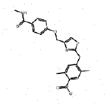 CNC(=O)c1ccc(OCc2csc(Cc3cc(C)c([N+](=O)[O-])cc3C)n2)cc1